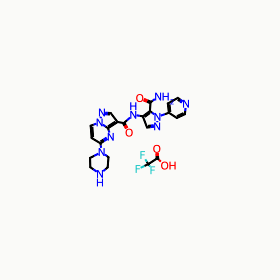 NC(=O)c1c(NC(=O)c2cnn3ccc(N4CCNCC4)nc23)cnn1-c1ccncc1.O=C(O)C(F)(F)F